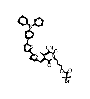 CC1=C(C#N)C(=O)N(CCCOC(=O)C(C)(C)Br)C(=O)C1=Cc1ccc(-c2ccc(-c3ccc(N(c4ccccc4)c4ccccc4)cc3)s2)s1